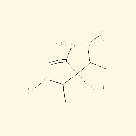 C=C(C(=O)O)C(C(=O)O)(C(C)OCC)C(C)OCC